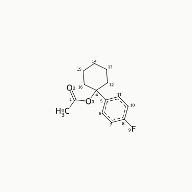 CC(=O)OC1(c2ccc(F)cc2)CCCCC1